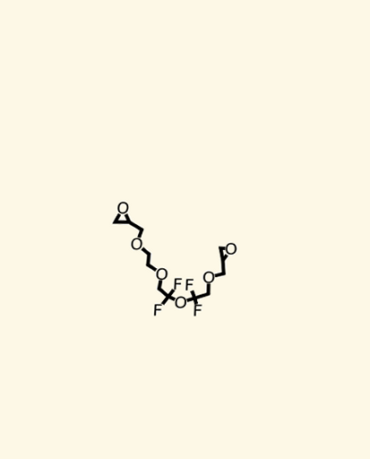 FC(F)(COCCOCC1CO1)OC(F)(F)COCC1CO1